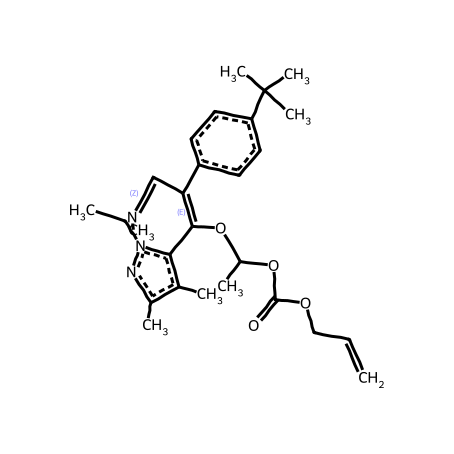 C=CCOC(=O)OC(C)O/C(=C(/C=N\C)c1ccc(C(C)(C)C)cc1)c1c(C)c(C)nn1CC